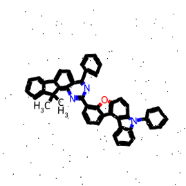 CC1(C)c2ccccc2-c2ccc3c(-c4ccccc4)nc(-c4cccc5c4oc4ccc6c(c7ccccc7n6-c6ccccc6)c45)nc3c21